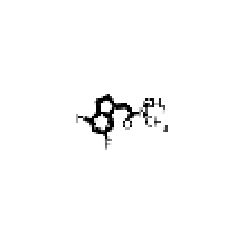 CN(C)C(=O)/C=C1/CCc2c(F)cc(F)cc21